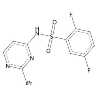 CC(C)c1nccc(NS(=O)(=O)c2cc(F)ccc2F)n1